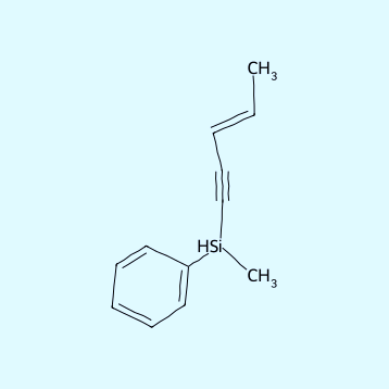 C/C=C/C#C[SiH](C)c1ccccc1